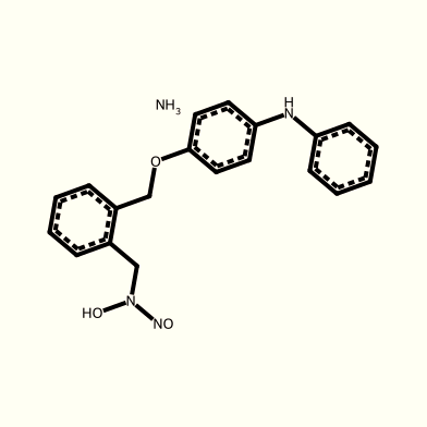 N.O=NN(O)Cc1ccccc1COc1ccc(Nc2ccccc2)cc1